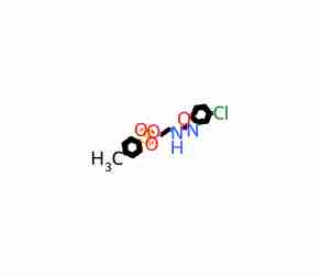 Cc1ccc(S(=O)(=O)OCCNc2nc3cc(Cl)ccc3o2)cc1